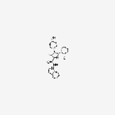 CC1C(C(=O)NN2CCc3ccccc32)=NN(c2ccccc2Cl)C1c1ccc(O)cc1